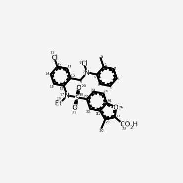 [CH2]c1ccccc1N(Cl)Cc1cc(Cl)ccc1N(CC)S(=O)(=O)c1ccc2oc(C(=O)O)c(C)c2c1